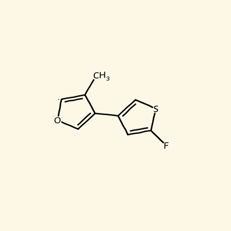 Cc1[c]occ1-c1csc(F)c1